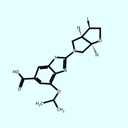 CC(C)Oc1cc(C(=O)O)cc2sc(N3C[C@@H]4[C@H](C3)OC[C@@H]4I)nc12